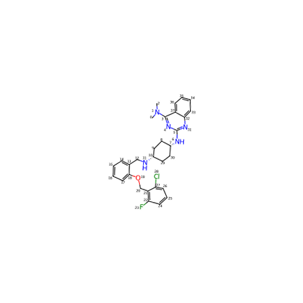 CN(C)c1nc(N[C@H]2CC[C@@H](NCc3ccccc3OCc3c(F)cccc3Cl)CC2)nc2ccccc12